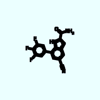 N#Cc1cc(-c2cc(F)c(F)c(F)c2)c2[nH]c(C(N)=O)cc2c1